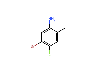 [CH2]c1cc(F)c(Br)cc1N